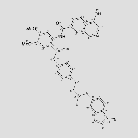 COc1cc(NC(=O)c2cnc3c(O)cccc3c2)c(C(=O)Nc2ccc(CCN(C)Cc3ccc4c(cnn4C)c3)cc2)cc1OC